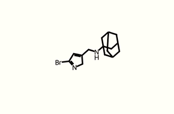 BrC1=NCC(CNC23CC4CC(CC(C4)C2)C3)=C1